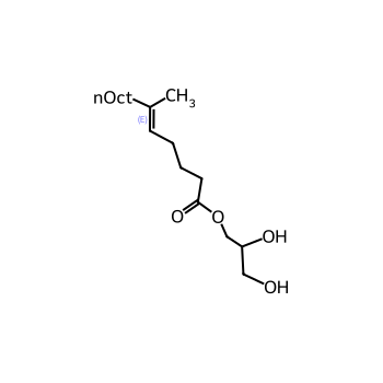 CCCCCCCC/C(C)=C/CCCC(=O)OCC(O)CO